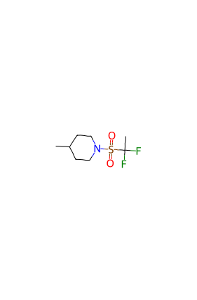 CC1CCN(S(=O)(=O)C(C)(F)F)CC1